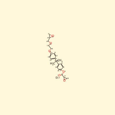 CCOC(Oc1ccc(C(C)(C)c2ccc(OCCOCC3CO3)cc2)cc1)C1CO1